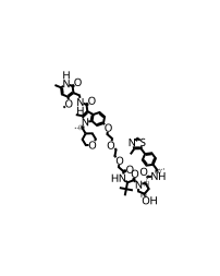 COc1cc(C)[nH]c(=O)c1CNC(=O)c1c(C)n([C@@H](C)C2CCOCC2)c2cc(OCCOCCOCC(=O)NC(C(=O)N3C[C@H](O)C[C@H]3C(=O)N[C@@H](C)c3ccc(-c4scnc4C)cc3)C(C)(C)C)ccc12